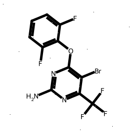 Nc1nc(Oc2c(F)cccc2F)c(Br)c(C(F)(F)F)n1